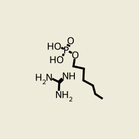 CCCCCCOP(=O)(O)O.N=C(N)N